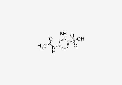 CC(=O)Nc1ccc(S(=O)(=O)O)cc1.[KH]